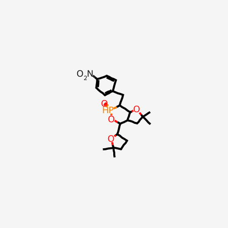 CC1(C)CCC(C2O[PH](=O)C(Cc3ccc([N+](=O)[O-])cc3)C3OC(C)(C)CC23)O1